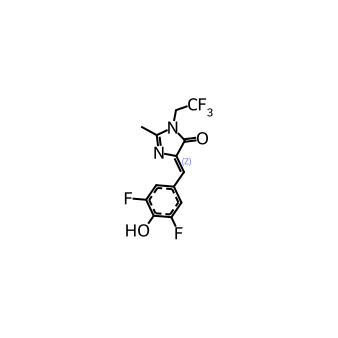 CC1=N/C(=C\c2cc(F)c(O)c(F)c2)C(=O)N1CC(F)(F)F